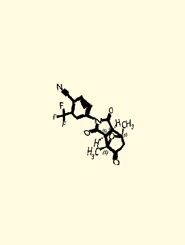 C[C@@]12CC(=O)[C@@](C)(O1)[C@H]1C(=O)N(c3ccc(C#N)c(C(F)(F)F)c3)C(=O)[C@H]12